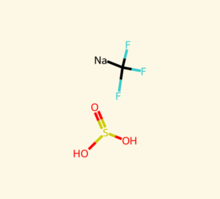 F[C](F)(F)[Na].O=S(O)O